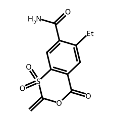 C=C1OC(=O)c2cc(CC)c(C(N)=O)cc2S1(=O)=O